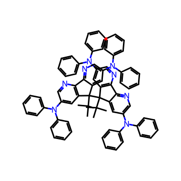 CC(C)(C)C1(C2(C(C)(C)C)c3cc(N(c4ccccc4)c4ccccc4)cnc3-c3ncc(N(c4ccccc4)c4ccccc4)cc32)c2cc(N(c3ccccc3)c3ccccc3)cnc2-c2ncc(N(c3ccccc3)c3ccccc3)cc21